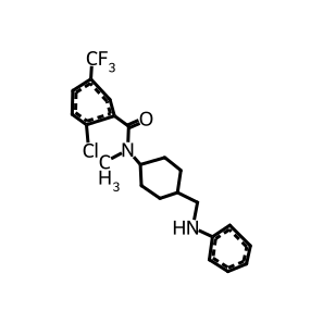 CN(C(=O)c1cc(C(F)(F)F)ccc1Cl)C1CCC(CNc2ccccc2)CC1